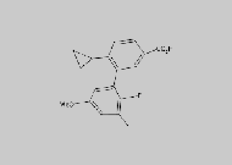 COc1cc(C)c(F)c(-c2cc(C(=O)O)ccc2C2CC2)c1